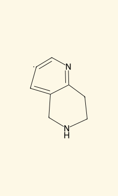 [c]1cnc2c(c1)CNCC2